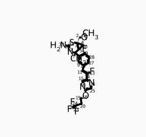 COC[C@]12CC1[C@@](C)(c1cc(/C=C(\F)c3cnc(OCCC(F)(F)F)cn3)ccc1F)N=C(N)S2